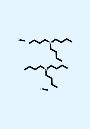 CCC[CH2][Sn+]([CH2]CCC)[CH2]CCC.CCC[CH2][Sn+]([CH2]CCC)[CH2]CCC.C[O-].C[O-]